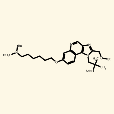 CCOCc1nc2cnc3cc(OCCCCCCN(C(=O)O)C(C)(C)C)ccc3c2n1CC(C)(C)NC(C)=O